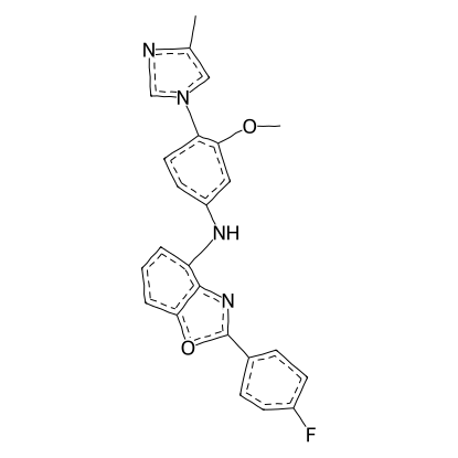 COc1cc(Nc2cccc3oc(-c4ccc(F)cc4)nc23)ccc1-n1cnc(C)c1